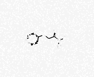 CCN(CC)C(=O)CSc1ccncc1